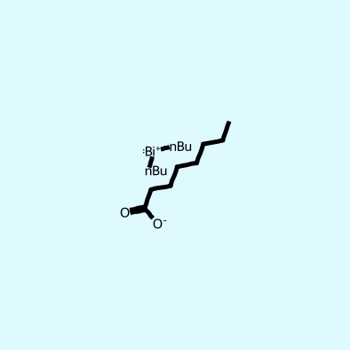 CCCCCCCC(=O)[O-].CCC[CH2][Bi+][CH2]CCC